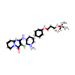 CN1C[C@H](Nc2nc3ccccn3c(=O)c2Br)C[C@H](c2ccc(OCCCO[Si](C)(C)C(C)(C)C)cc2)C1